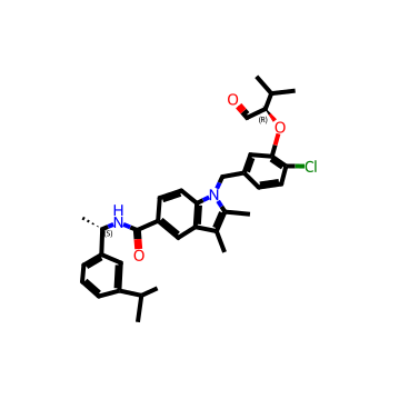 Cc1c(C)n(Cc2ccc(Cl)c(O[C@@H](C=O)C(C)C)c2)c2ccc(C(=O)N[C@@H](C)c3cccc(C(C)C)c3)cc12